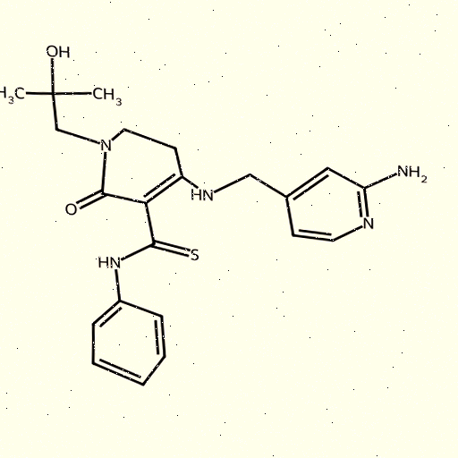 CC(C)(O)CN1CCC(NCc2ccnc(N)c2)=C(C(=S)Nc2ccccc2)C1=O